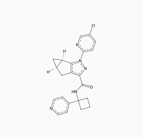 O=C(NC1(c2ccncc2)CCC1)c1nn(-c2ccc(Cl)cn2)c2c1C[C@H]1C[C@@H]21